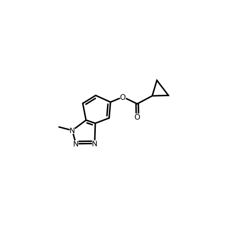 Cn1nnc2cc(OC(=O)C3CC3)ccc21